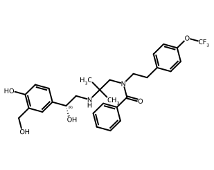 CC(C)(CN(CCc1ccc(OC(F)(F)F)cc1)C(=O)c1ccccc1)NC[C@H](O)c1ccc(O)c(CO)c1